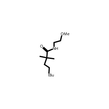 COCCNC(=O)C(C)(C)CCC(C)(C)C